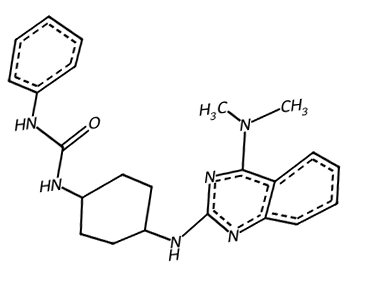 CN(C)c1nc(NC2CCC(NC(=O)Nc3ccccc3)CC2)nc2ccccc12